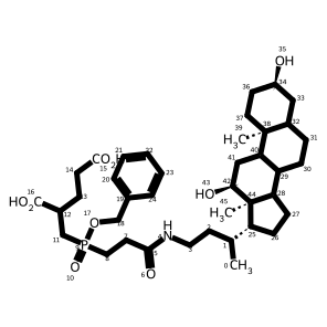 CC(CCNC(=O)CCP(=O)(CC(CCC(=O)O)C(=O)O)OCc1ccccc1)[C@H]1CCC2C3CCC4C[C@H](O)CC[C@]4(C)C3C[C@H](O)[C@@]21C